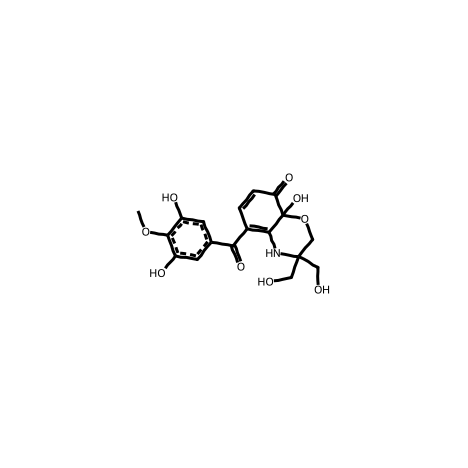 COc1c(O)cc(C(=O)C2=C3NC(CO)(CO)COC3(O)C(=O)C=C2)cc1O